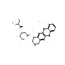 COc1cccc2c1C(=O)c1c(O)c3c(c(O)c1C2=O)C[C@@](O)(C(C)=O)CC3OC1C[C@H](NC(=O)C(CC(C)C)NCl)[C@H](C)[C@H](C)O1